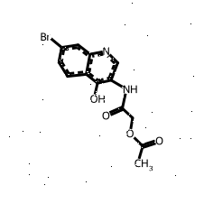 CC(=O)OCC(=O)Nc1cnc2cc(Br)ccc2c1O